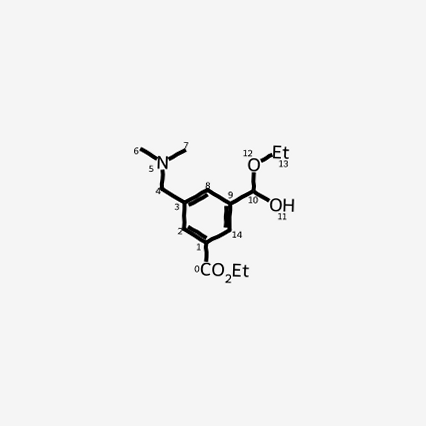 CCOC(=O)c1cc(CN(C)C)cc(C(O)OCC)c1